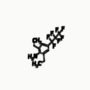 CCc1cc(C(F)(F)C(F)(F)C(F)(F)F)cc(CC)c1N